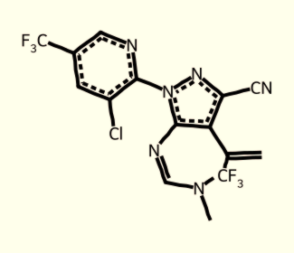 C=C(c1c(C#N)nn(-c2ncc(C(F)(F)F)cc2Cl)c1/N=C\N(C)C)C(F)(F)F